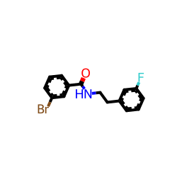 O=C(NCCc1cccc(F)c1)c1cccc(Br)c1